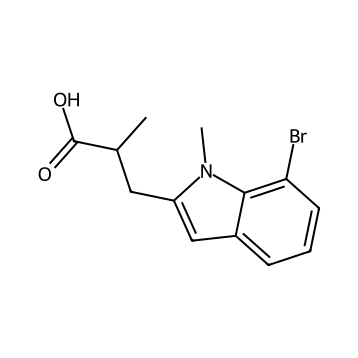 CC(Cc1cc2cccc(Br)c2n1C)C(=O)O